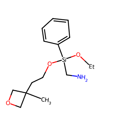 CCO[Si](CN)(OCCC1(C)COC1)c1ccccc1